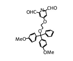 COc1ccc(C(OCCOc2cc(C=O)nc(C=O)c2)(c2ccccc2)c2ccc(OC)cc2)cc1